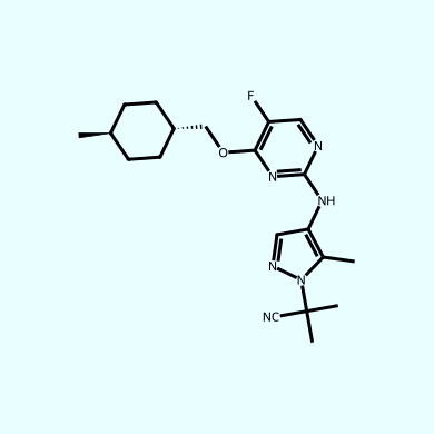 Cc1c(Nc2ncc(F)c(OC[C@H]3CC[C@H](C)CC3)n2)cnn1C(C)(C)C#N